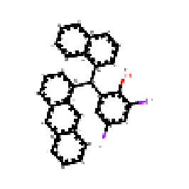 Oc1c(I)cc(I)cc1C(c1cccc2ccccc12)c1cccc2cc3ccccc3cc12